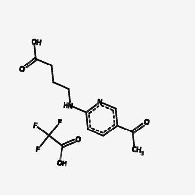 CC(=O)c1ccc(NCCCC(=O)O)nc1.O=C(O)C(F)(F)F